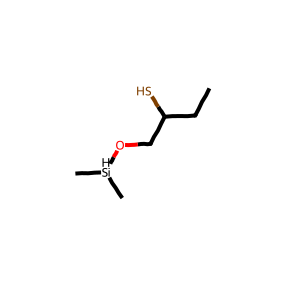 CCC(S)CO[SiH](C)C